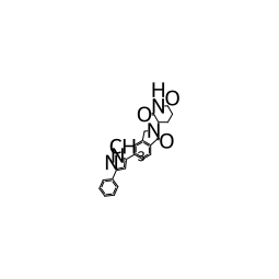 Cn1nc(-c2ccccc2)cc1-c1ccc2c(c1)CN(C1CCC(=O)NC1=O)C2=O